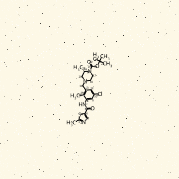 Cc1ncc(C(=O)Nc2cc(Cl)cc(CN3CCN(C(=O)OC(C)(C)C)[C@@H](C)C3)c2C)s1